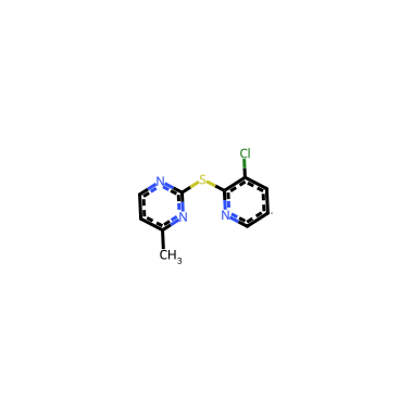 Cc1ccnc(Sc2nc[c]cc2Cl)n1